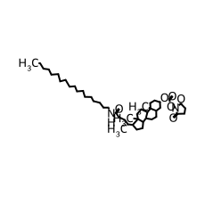 CCCCCCCCCCCCCCCCCCNC(=O)CCC(C)C1CCC2C3CCC4CC(OC(=O)ON5C(=O)CCC5=O)CCC4(C)C3CCC12C